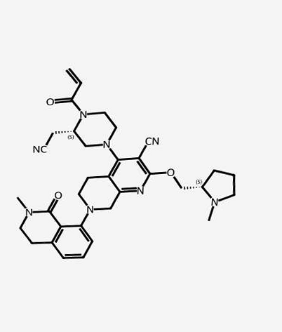 C=CC(=O)N1CCN(c2c(C#N)c(OC[C@@H]3CCCN3C)nc3c2CCN(c2cccc4c2C(=O)N(C)CC4)C3)C[C@@H]1CC#N